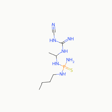 CCCCNP(N)(=S)NC(C)NC(=N)NC#N